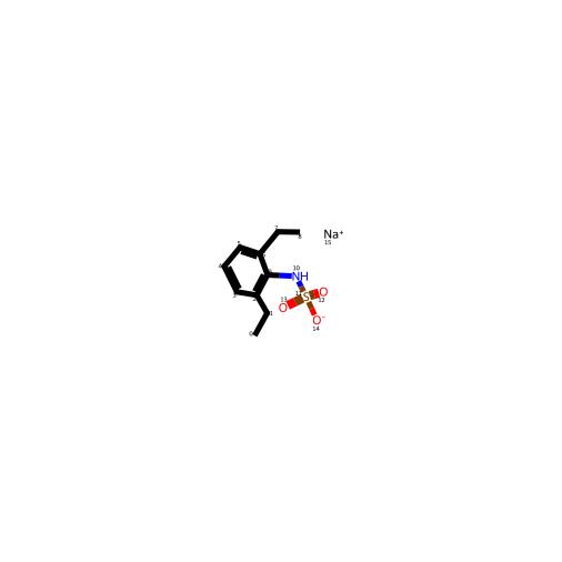 CCc1cccc(CC)c1NS(=O)(=O)[O-].[Na+]